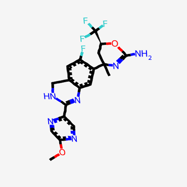 COc1cnc(C2=Nc3cc(C4(C)C[C@@H](C(F)(F)F)OC(N)=N4)c(F)cc3CN2)cn1